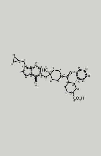 O=C(O)N1CC[C@@H](C(=O)N2CCC(O)(Cn3cnc4c(ccn4CC4CC4)c3=O)CC2)[C@H](c2ccccc2)C1